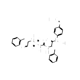 COc1ccc(N(C)C(=O)[C@H](Cc2ccccc2)NC(=O)NS(=O)(=O)N[C@H](C=O)Cc2ccccc2)cc1